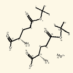 CC(C)(C)OC(=O)CC[C@H](N)C(=O)[O-].CC(C)(C)OC(=O)CC[C@H](N)C(=O)[O-].[Mg+2]